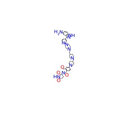 CN(C(=O)c1ccc(N2CCC(CN3CCC(CCN4CCN(c5cc(-c6n[nH]c7ccc(N)cc67)ccn5)CC4)CC3)CC2)cc1C=O)C1CCC(=O)NC1=O